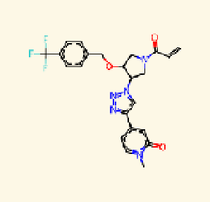 C=CC(=O)N1CC(OCc2ccc(C(F)(F)F)cc2)C(n2cc(-c3ccn(C)c(=O)c3)nn2)C1